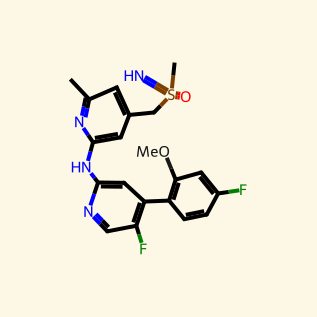 COc1cc(F)ccc1-c1cc(Nc2cc(CS(C)(=N)=O)cc(C)n2)ncc1F